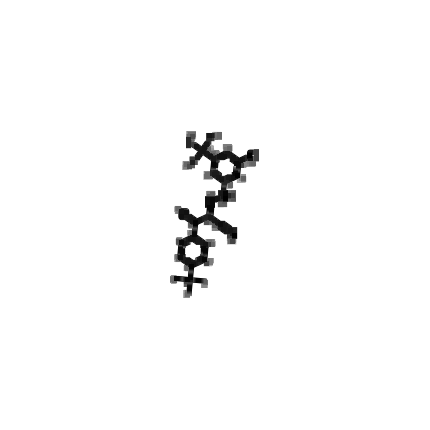 CC(C)(C)c1ccc(C(=O)/C(C#N)=N/Nc2cc(Cl)cc(C(F)(F)F)c2)cc1